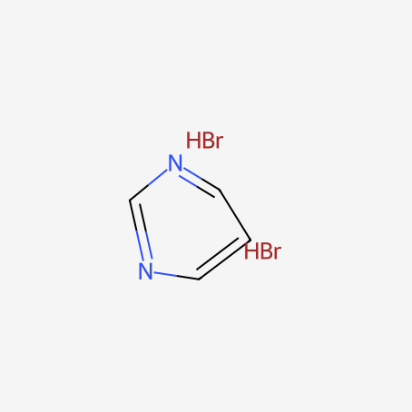 Br.Br.c1cncnc1